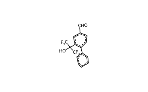 O=Cc1ccc(-c2ccccc2)c(C(O)(C(F)(F)F)C(F)(F)F)c1